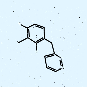 Cc1c(F)ccc([CH]c2cccnn2)c1F